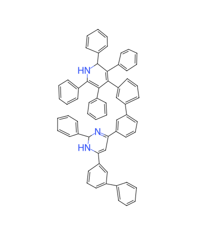 C1=C(c2cccc(-c3ccccc3)c2)NC(c2ccccc2)N=C1c1cccc(-c2cccc(C3=C(c4ccccc4)C(c4ccccc4)NC(c4ccccc4)=C3c3ccccc3)c2)c1